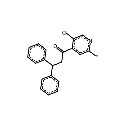 O=C(CC(c1ccccc1)c1ccccc1)c1cc(F)ncc1Cl